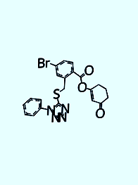 O=C1C=C(OC(=O)c2ccc(Br)cc2CSc2nnnn2-c2ccccc2)CCC1